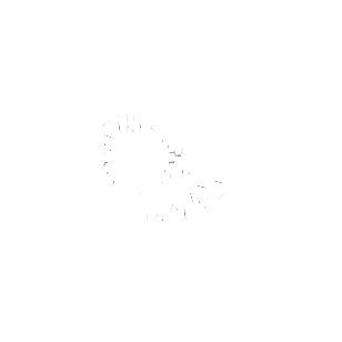 COc1ccc2c(O[C@@H]3C[C@H]4C(=O)NC(CC5CCC5)C(=O)C(=O)Nc5ccccc5NCCOCCCCCC(=O)N4C3)cc(-c3csc(NC(C)C)n3)nc2c1